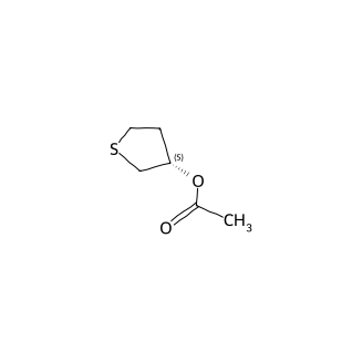 CC(=O)O[C@H]1CCSC1